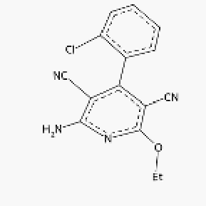 CCOc1nc(N)c(C#N)c(-c2ccccc2Cl)c1C#N